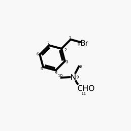 BrCc1ccccc1.CN(C)C=O